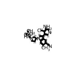 Cc1cc2c(cc1C#N)c(-c1cncc(N)c1Cl)cn2[C@@H]1CCN(NS(C)(=O)=O)C1